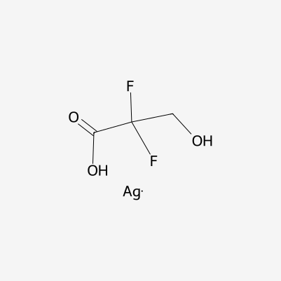 O=C(O)C(F)(F)CO.[Ag]